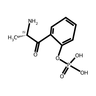 C[C@H](N)C(=O)c1ccccc1OP(=O)(O)O